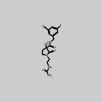 NC(=O)NCCN1CCC(O)(C(=O)NCc2cc(F)cc(Cl)c2)C1=O